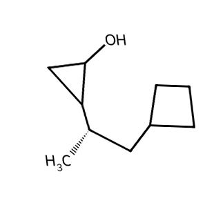 C[C@@H](CC1CCC1)C1CC1O